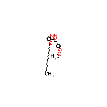 CCCCCCCCCCCCCCCCOc1cccc(O)c1C(=O)/C=C/c1ccc(OCOC)cc1